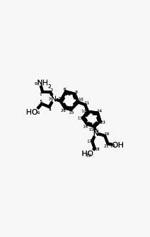 NCCN(CCO)c1ccc(Cc2ccc(N(CCO)CCO)cc2)cc1